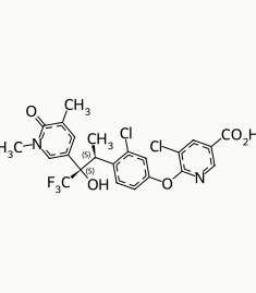 Cc1cc([C@@](O)([C@@H](C)c2ccc(Oc3ncc(C(=O)O)cc3Cl)cc2Cl)C(F)(F)F)cn(C)c1=O